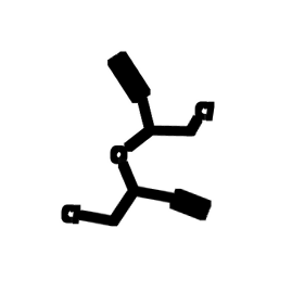 C#CC(CCl)OC(C#C)CCl